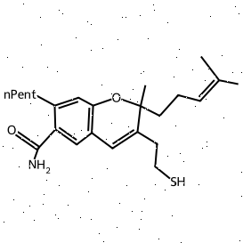 CCCCCc1cc2c(cc1C(N)=O)C=C(CCS)C(C)(CCC=C(C)C)O2